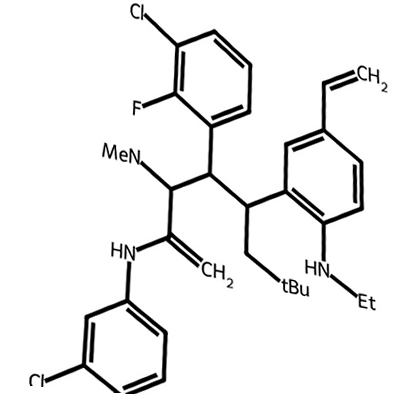 C=Cc1ccc(NCC)c(C(CC(C)(C)C)C(c2cccc(Cl)c2F)C(NC)C(=C)Nc2cccc(Cl)c2)c1